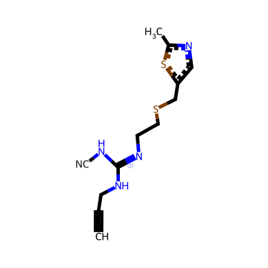 C#CCN/C(=N/CCSCc1cnc(C)s1)NC#N